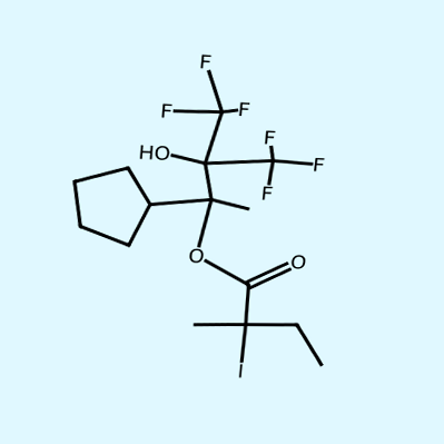 CCC(C)(I)C(=O)OC(C)(C1CCCC1)C(O)(C(F)(F)F)C(F)(F)F